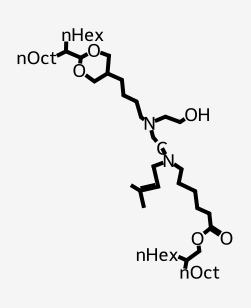 CCCCCCCCC(CCCCCC)COC(=O)CCCCCN(CC=C(C)C)CCN(CCO)CCCCC1COC(C(CCCCCC)CCCCCCCC)OC1